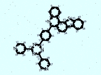 c1ccc2c(c1)nc(-c1ccc(-c3nc(-c4ccncc4)nc(-c4ccncc4)n3)cc1)c1ccc3c4ccccc4sc3c12